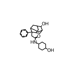 O=C(CC1(c2ccccc2)C2CC3CC1CC(C2)C3O)NC1CCC(O)CC1